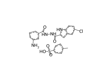 Cc1ccc(S(=O)(=O)O)cc1.Nc1cccc(C(=O)NNC(=O)c2cc3cc(Cl)ccc3[nH]2)c1